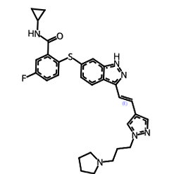 O=C(NC1CC1)c1cc(F)ccc1Sc1ccc2c(/C=C/c3cnn(CCCN4CCCC4)c3)n[nH]c2c1